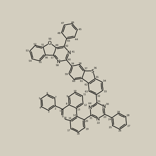 C=C(c1ccccc1)c1ccccc1-c1c(C)cccc1-c1nc(-c2ccccc2)nc(-c2ccc3sc4cc(-c5nc(-c6ccccc6)c6oc7ccccc7c6n5)ccc4c3c2)n1